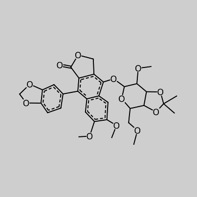 COCC1OC(Oc2c3c(c(-c4ccc5c(c4)OCO5)c4cc(OC)c(OC)cc24)C(=O)OC3)C(OC)C2OC(C)(C)OC12